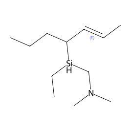 C/C=C/C(CCC)[SiH](CC)CN(C)C